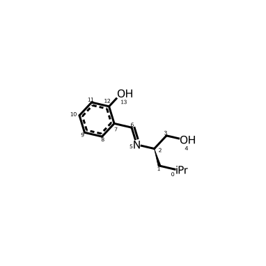 CC(C)C[C@H](CO)/N=C/c1ccccc1O